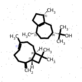 C=C1CC/C=C(\C)CC[C@@H]2[C@@H]1CC2(C)C.C[C@H]1CC[C@@H](C(C)(C)O)CC2=C1CC[C@@H]2C